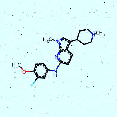 COc1ccc(Nc2ccc3c(C4CCN(C)CC4)cn(C)c3n2)cc1F